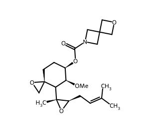 CO[C@H]1C([C@@]2(C)O[C@@H]2CC=C(C)C)[C@]2(CC[C@H]1OC(=O)N1CC3(COC3)C1)CO2